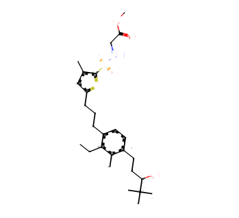 CCc1c(CCCc2cc(C)c(S(=O)(=O)NCC(=O)OC)s2)ccc(CCC(O)C(C)(C)C)c1C